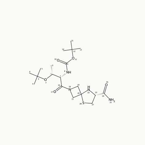 C[C@@H](OC(C)(C)C)[C@H](NC(=O)OC(C)(C)C)C(=O)N1CC2(C1)N[C@H](C(N)=O)CS2